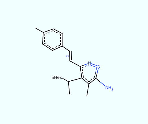 CCCCCCC(C)c1c(/C=C/c2ccc(C)cc2)nnc(N)c1C